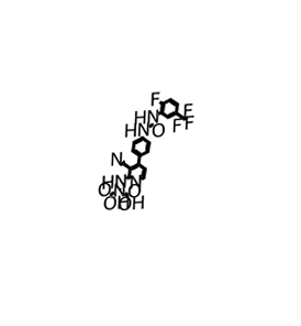 N#Cc1c(-c2ccc(NC(=O)Nc3cc(C(F)(F)F)ccc3F)cc2)ccnc1NN(C(=O)O)C(=O)O